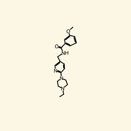 CCN1CCN(c2ccc(CNC(=O)c3cccc(OC)c3)cn2)CC1